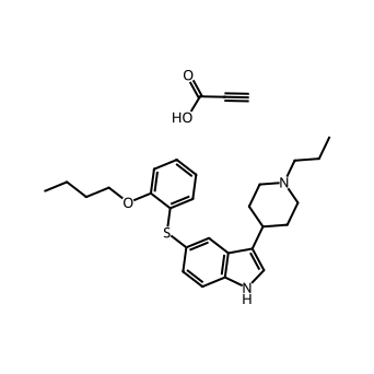 C#CC(=O)O.CCCCOc1ccccc1Sc1ccc2[nH]cc(C3CCN(CCC)CC3)c2c1